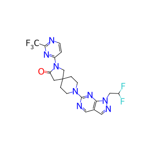 O=C1CC2(CCN(c3ncc4cnn(CC(F)F)c4n3)CC2)CN1c1ccnc(C(F)(F)F)n1